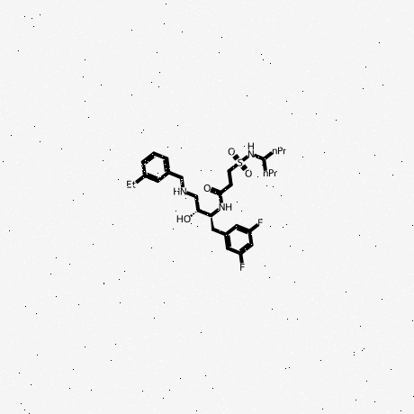 CCCC(CCC)NS(=O)(=O)CCC(=O)N[C@@H](Cc1cc(F)cc(F)c1)[C@H](O)CNCc1cccc(CC)c1